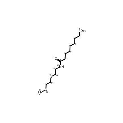 CCCCCCCCCCCCCCCCCC(=O)NCCOCCON